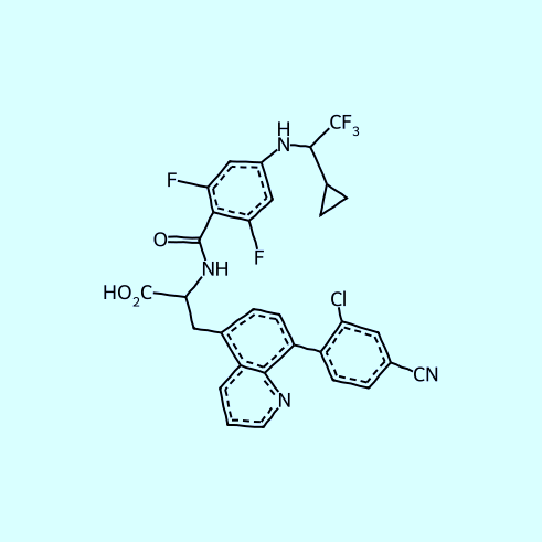 N#Cc1ccc(-c2ccc(CC(NC(=O)c3c(F)cc(NC(C4CC4)C(F)(F)F)cc3F)C(=O)O)c3cccnc23)c(Cl)c1